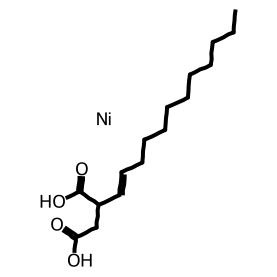 CCCCCCCCCCC=CC(CC(=O)O)C(=O)O.[Ni]